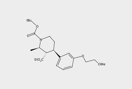 CCOC(=O)[C@@H]1[C@@H](C)N(C(=O)OC(C)(C)C)CC[C@H]1c1cccc(OCCOC)c1